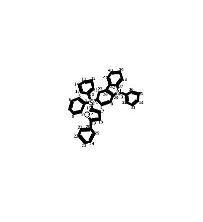 C1=CC([Si](c2ccccc2)(c2ccccc2)c2ccc(-c3ccccc3)o2)Cc2c1n(-c1ccccc1)c1ccccc21